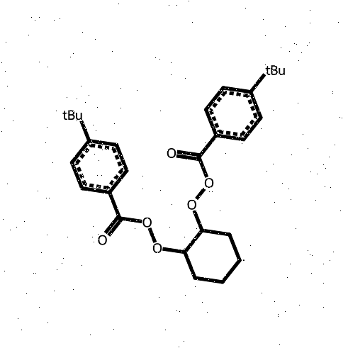 CC(C)(C)c1ccc(C(=O)OO[C]2CC[CH]CC2OOC(=O)c2ccc(C(C)(C)C)cc2)cc1